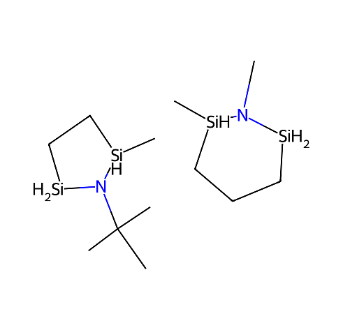 CN1[SiH2]CCC[SiH]1C.C[SiH]1CC[SiH2]N1C(C)(C)C